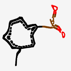 Cc1cccc([SH](=O)=O)c1